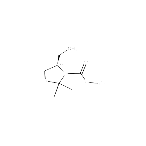 CC(C)(C)OC(=O)N1[C@H](CN)COC1(C)C